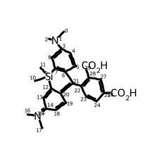 CN(C)c1ccc2c(c1)[Si](C)(C)C1=CC(=[N+](C)C)C=CC1=C2c1ccc(C(=O)O)cc1C(=O)O